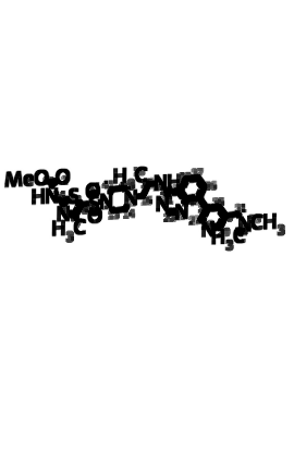 COC(=O)Nc1nc(C)c(S(=O)(=O)N2CCN(C[C@H](C)Nc3ncnc4c(-c5cncc(CN(C)C)c5)cccc34)CC2)s1